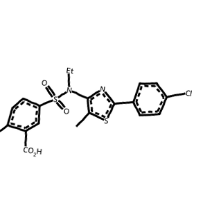 CCN(c1nc(-c2ccc(Cl)cc2)sc1C)S(=O)(=O)c1ccc(Cl)c(C(=O)O)c1